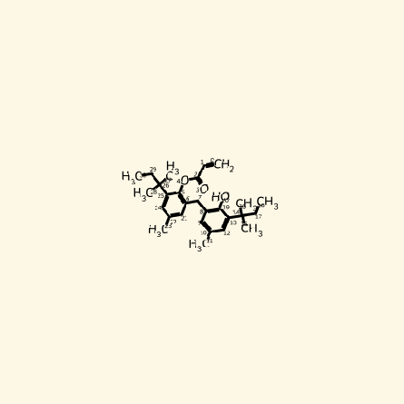 C=CC(=O)Oc1c(Cc2cc(C)cc(C(C)(C)CC)c2O)cc(C)cc1C(C)(C)CC